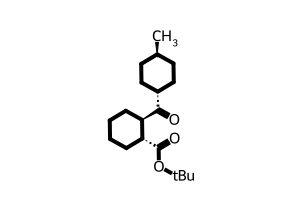 CC(C)(C)OC(=O)[C@@H]1CCCC[C@H]1C(=O)[C@H]1CC[C@H](C)CC1